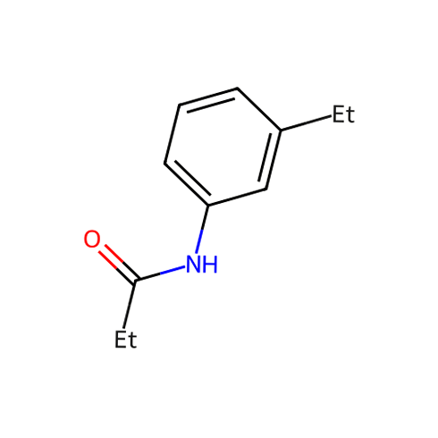 CCC(=O)Nc1cccc(CC)c1